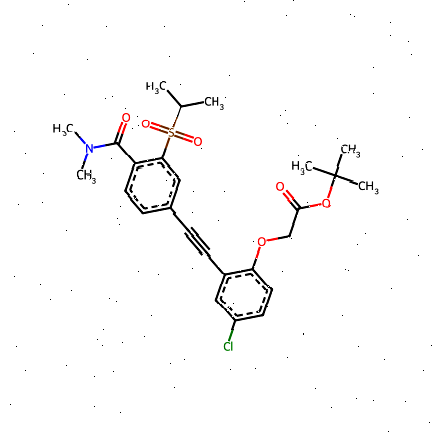 CC(C)S(=O)(=O)c1cc(C#Cc2cc(Cl)ccc2OCC(=O)OC(C)(C)C)ccc1C(=O)N(C)C